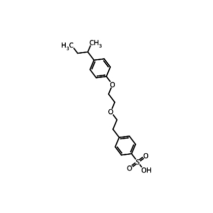 CCC(C)c1ccc(OCCOCCc2ccc(S(=O)(=O)O)cc2)cc1